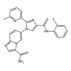 Cc1cccc(-c2nc(C(=O)Nc3ccccc3F)cn2-c2ccc3ncc(C(N)=O)n3c2)n1